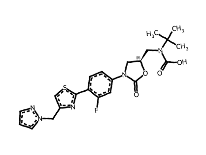 CC(C)(C)N(C[C@@H]1CN(c2ccc(-c3nc(Cn4cccn4)cs3)c(F)c2)C(=O)O1)C(=O)O